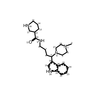 CN1CCN(C(CCCNC(=O)C2CCCNC2)c2c[nH]c3ccccc23)CC1